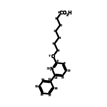 O=C(O)CCCCCCOc1cccc(-c2ccccc2)n1